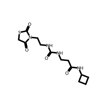 O=C(CCNC(=O)NCCN1C(=O)CSC1=O)NC1CCC1